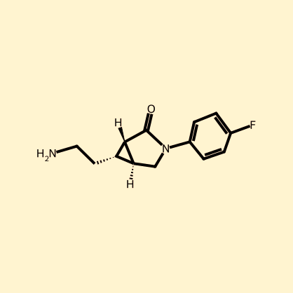 NCC[C@H]1[C@@H]2CN(c3ccc(F)cc3)C(=O)[C@@H]12